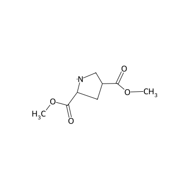 COC(=O)C1C[N]C(C(=O)OC)C1